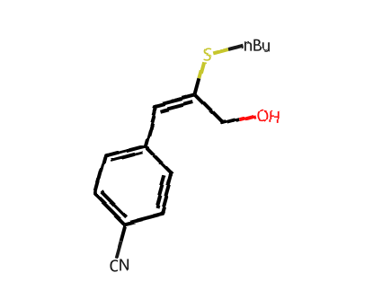 CCCCS/C(=C/c1ccc(C#N)cc1)CO